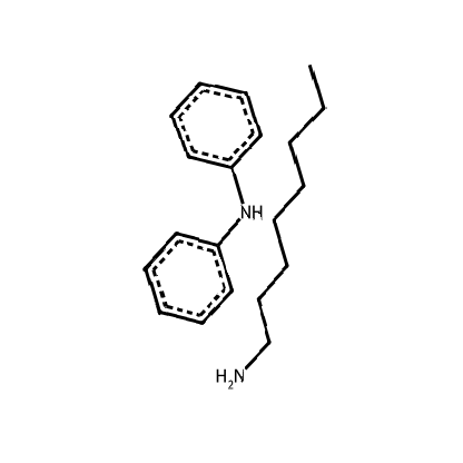 CCCCCCCCN.c1ccc(Nc2ccccc2)cc1